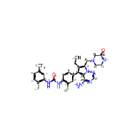 N#CCc1c(-c2ccc(NC(=O)Nc3cc(C(F)(F)F)ccc3F)c(F)c2)c2c(N)ncnn2c1CN1CCNC(=O)C1